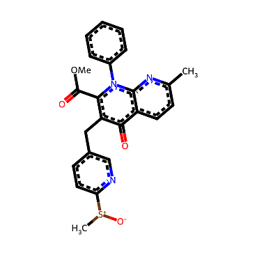 COC(=O)c1c(Cc2ccc([S+](C)[O-])nc2)c(=O)c2ccc(C)nc2n1-c1ccccc1